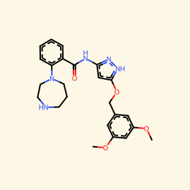 COc1cc(COc2cc(NC(=O)c3ccccc3N3CCCNCC3)n[nH]2)cc(OC)c1